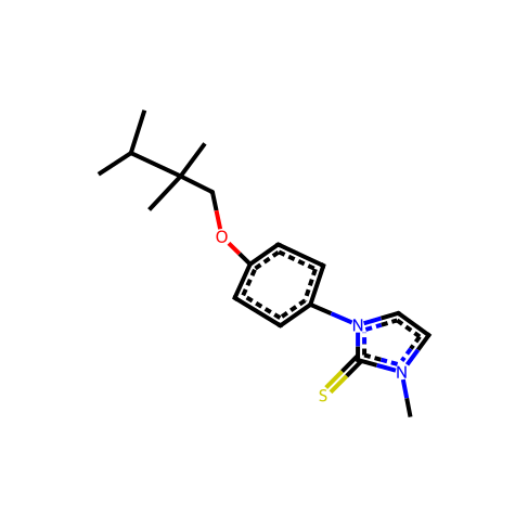 CC(C)C(C)(C)COc1ccc(-n2ccn(C)c2=S)cc1